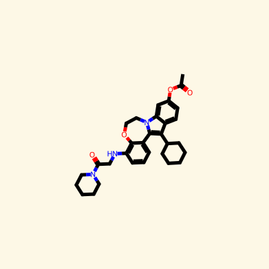 CC(=O)Oc1ccc2c(C3CCCCC3)c3n(c2c1)CCOc1c(NCC(=O)N2CCCCC2)cccc1-3